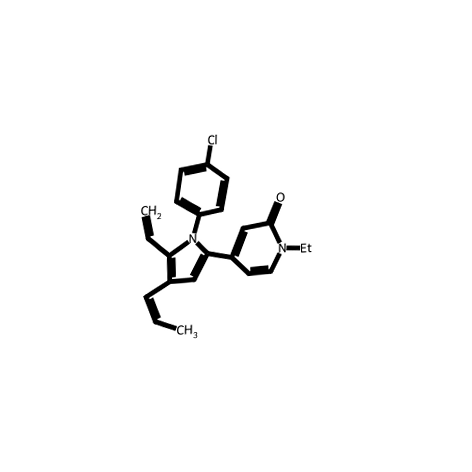 C=Cc1c(/C=C\C)cc(-c2ccn(CC)c(=O)c2)n1-c1ccc(Cl)cc1